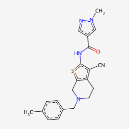 Cc1ccc(CN2CCc3c(sc(NC(=O)c4cnn(C)c4)c3C#N)C2)cc1